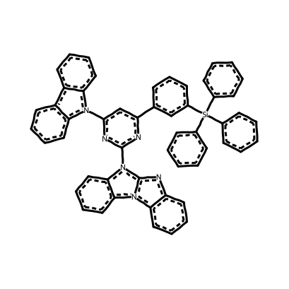 c1ccc([Si](c2ccccc2)(c2ccccc2)c2cccc(-c3cc(-n4c5ccccc5c5ccccc54)nc(-n4c5ccccc5n5c6ccccc6nc45)n3)c2)cc1